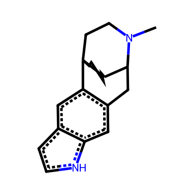 CN1CCC23CCCCC2C1Cc1cc2[nH]ccc2cc13